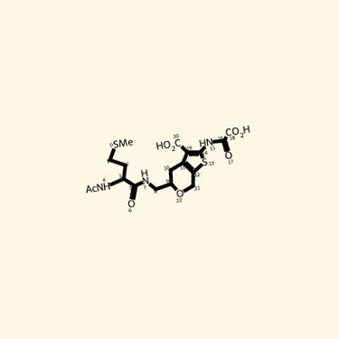 CSCCC(NC(C)=O)C(=O)NCC1Cc2c(sc(NC(=O)C(=O)O)c2C(=O)O)CO1